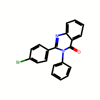 O=c1c2ccccc2nc(-c2ccc(Br)cc2)n1-c1ccccc1